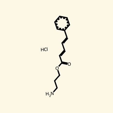 Cl.NCCCOC(=O)/C=C/C=C/c1ccccc1